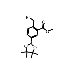 COC(=O)c1cc(B2OC(C)(C)C(C)(C)O2)ccc1CBr